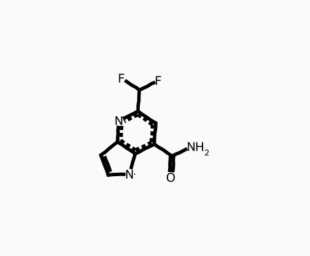 NC(=O)c1cc(C(F)F)nc2c1[N]C=C2